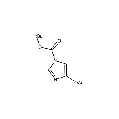 CC(=O)Oc1cn(C(=O)OC(C)(C)C)cn1